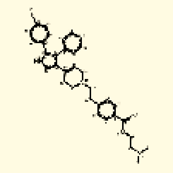 CN(C)CCOC(=O)c1ccc(CCN2CC=C(c3c[nH]c(-c4ccc(F)cc4)c3-c3ccncc3)CC2)cc1